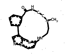 CN1CCNC(=O)c2cccc(c2)-c2cnn3ccc(nc23)NCC1